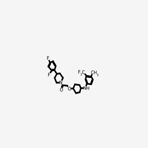 Cc1ccc(NC2CCC(OCC(=O)N3CCC(c4ccc(F)cc4F)CC3)CC2)cc1C(F)(F)F